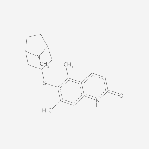 Cc1cc2[nH]c(=O)ccc2c(C)c1SC1CC2CCC(C1)N2C